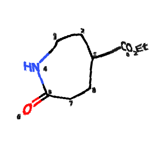 CCOC(=O)C1CCNC(=O)CC1